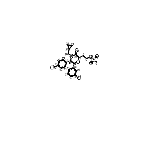 CS(=O)(=O)OCC[C@H]1O[C@H](c2cccc(Cl)c2)[C@H](c2ccc(Cl)cc2)N(CC2CC2)C1=O